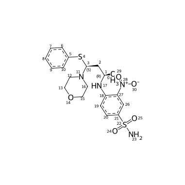 C[C@H](C[C@H](Sc1ccccc1)N1CCOCC1)Nc1ccc(S(N)(=O)=O)cc1[N+](=O)[O-]